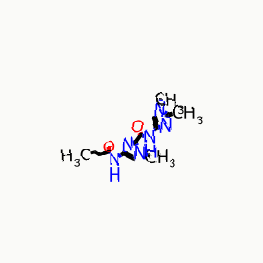 CCCC(=O)Nc1cn(C)c(C(=O)Nc2cn(C)c(C)n2)n1